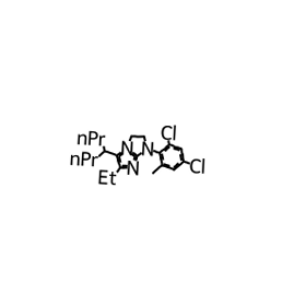 CCCC(CCC)c1c(CC)nc2n1CCN2c1c(C)cc(Cl)cc1Cl